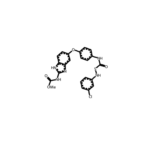 COC(=O)Nc1nc2cc(Oc3ccc(NC(=O)SNc4cccc(Cl)c4)cc3)ccc2[nH]1